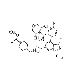 Cc1nc(F)c2c(-c3ccc(F)cc3C(=O)N3[C@H](C)COC[C@H]3C)cc(C3CN(CC4CCN(C(=O)OC(C)(C)C)CC4)C3)cn12